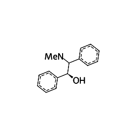 CNC(c1ccccc1)[C@@H](O)c1ccccc1